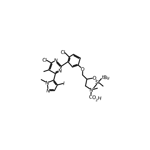 Cc1c(Cl)nc(-c2cc(OCC(CN(C)C(=O)O)O[Si](C)(C)C(C)(C)C)ccc2Cl)nc1-c1c(I)cnn1C